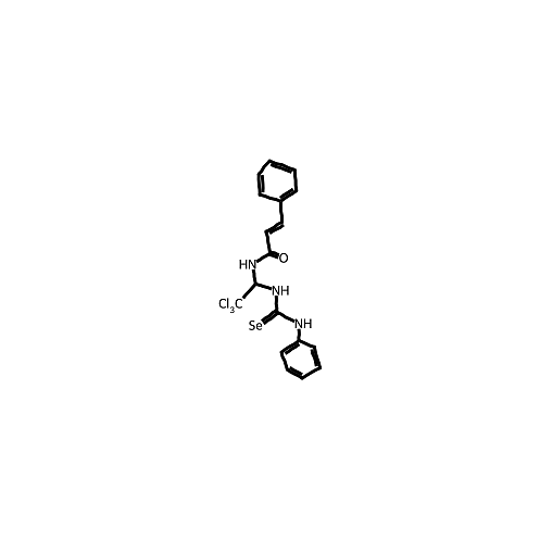 O=C(/C=C/c1ccccc1)NC(NC(=[Se])Nc1ccccc1)C(Cl)(Cl)Cl